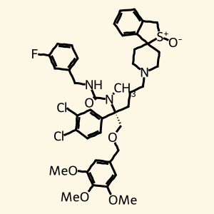 COc1cc(COC[C@](CCCN2CCC3(CC2)c2ccccc2C[S+]3[O-])(c2ccc(Cl)c(Cl)c2)N(C)C(=O)NCc2cccc(F)c2)cc(OC)c1OC